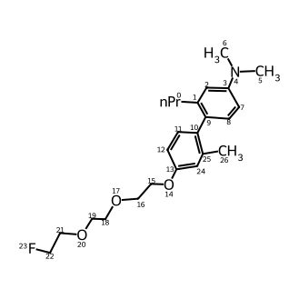 CCCc1cc(N(C)C)ccc1-c1ccc(OCCOCCOCCF)cc1C